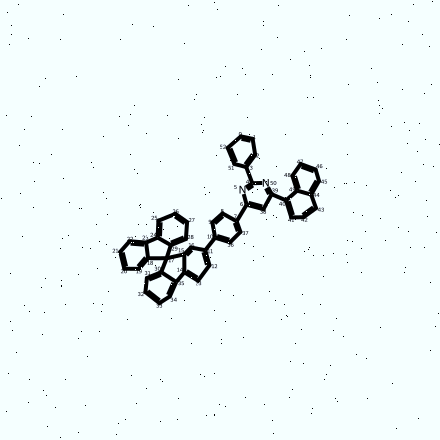 c1ccc(-c2nc(-c3ccc(-c4ccc5c(c4)C4(c6ccccc6-c6ccccc64)c4ccccc4-5)cc3)cc(-c3cccc4ccccc34)n2)cc1